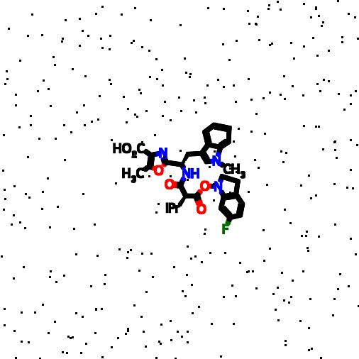 Cc1oc([C@@H](Cc2cn(C)c3ccccc23)NC(=O)[C@@H](C(=O)ON2CCc3ccc(F)cc32)C(C)C)nc1C(=O)O